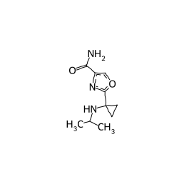 CC(C)NC1(c2nc(C(N)=O)co2)CC1